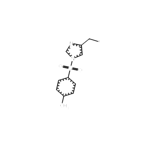 Cc1ccc(S(=O)(=O)n2cnc(CI)c2)cc1